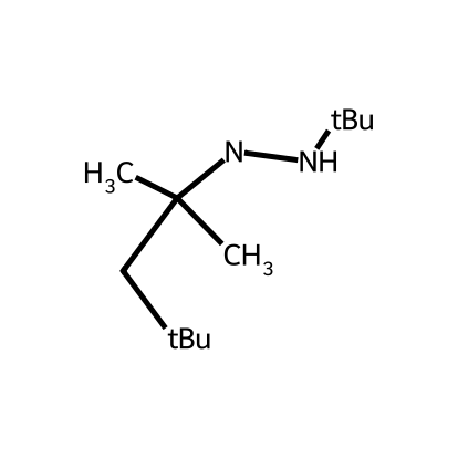 CC(C)(C)CC(C)(C)[N]NC(C)(C)C